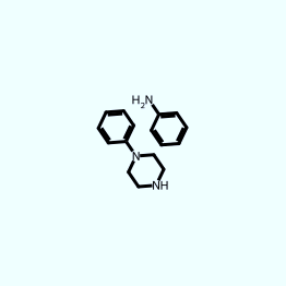 Nc1ccccc1.c1ccc(N2CCNCC2)cc1